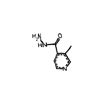 Cc1cnccc1C(=O)NN